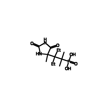 CCC(CC)(C1(C)NC(=O)NC1=O)C(C)(C)P(=O)(O)O